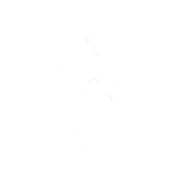 CN(C(=O)c1cc2nc(N)c3c(c2[nH]1)COC3)[C@H]1COCc2cc(C(F)(F)F)ccc21